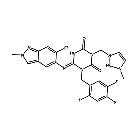 CN1C=CN(Cn2c(=O)[nH]/c(=N\c3cc4cn(C)nc4cc3Cl)n(Cc3cc(F)c(F)cc3F)c2=O)N1